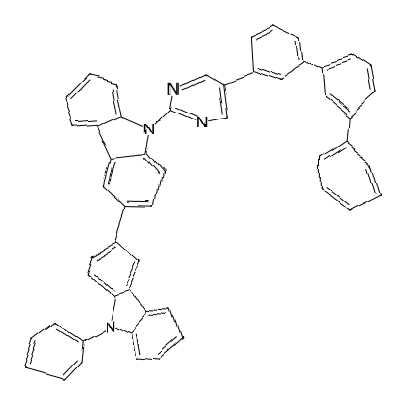 c1ccc(-c2cccc(-c3cccc(-c4cnc(-n5c6ccccc6c6cc(-c7ccc8c(c7)c7ccccc7n8-c7ccccc7)ccc65)nc4)c3)c2)cc1